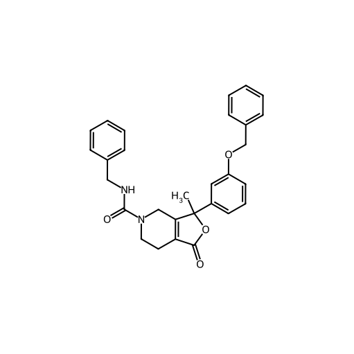 CC1(c2cccc(OCc3ccccc3)c2)OC(=O)C2=C1CN(C(=O)NCc1ccccc1)CC2